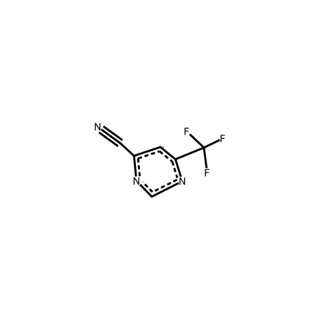 N#Cc1[c]c(C(F)(F)F)ncn1